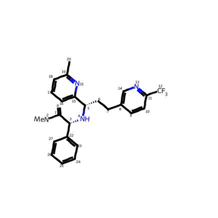 C=C(NC)[C@H](N[C@@H](CCc1ccc(C(F)(F)F)nc1)c1cccc(C)n1)c1ccccc1